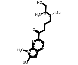 Cn1c(C(C)(C)C)cc2ncc(C(=O)CCC[C@H]([C@@H](N)CO)C(C)(C)C)nc21